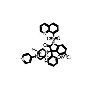 COc1ccccc1C1(N2C[C@@H]3C[C@H]2CN3c2ccncc2)C(=O)N(S(=O)(=O)c2cccc3cccnc23)c2ccc(Cl)cc21